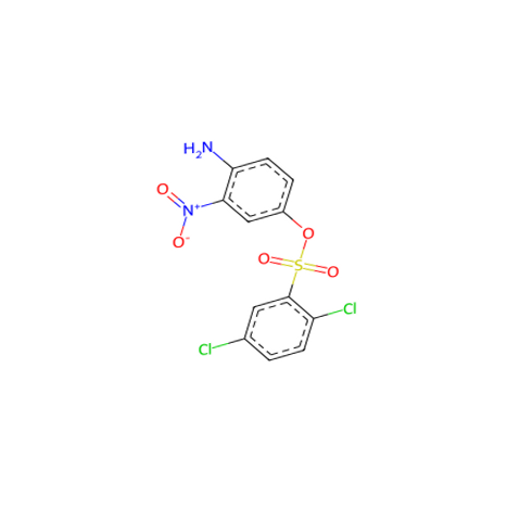 Nc1ccc(OS(=O)(=O)c2cc(Cl)ccc2Cl)cc1[N+](=O)[O-]